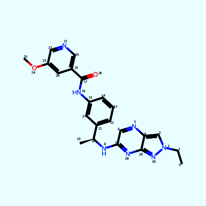 CCn1cc2ncc(N[C@@H](C)c3cccc(NC(=O)c4cncc(OC)c4)c3)nc2n1